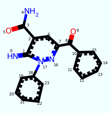 N=c1c(C(N)=O)cc(C(=O)c2ccccc2)nn1-c1ccccc1